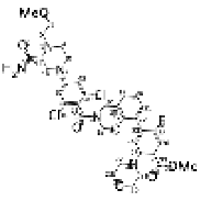 COCCN1CCN(c2cc(Cl)c(C(=O)N3COc4c(cccc4-c4cc(N5CCOCC5)c(C(=O)OC)cc4F)C3)c(Cl)c2)C[C@@H]1C(N)=O